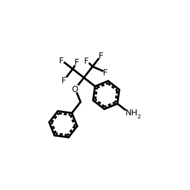 Nc1ccc(C(OCc2ccccc2)(C(F)(F)F)C(F)(F)F)cc1